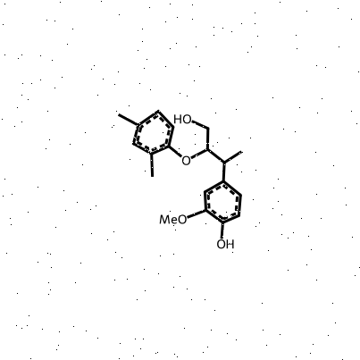 COc1cc(C(C)C(CO)Oc2ccc(C)cc2C)ccc1O